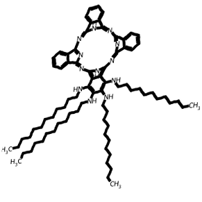 CCCCCCCCCCCCNc1c(NCCCCCCCCCCCC)c(NCCCCCCCCCCCC)c2c3nc4nc(nc5[nH]c(nc6nc(nc([nH]3)c2c1NCCCCCCCCCCCC)-c1ccccc1-6)c1ccccc51)-c1ccccc1-4